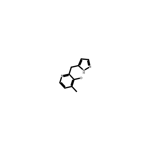 Cc1ccnc(Cc2ccn[nH]2)c1[O]